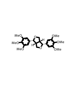 COc1cc([C@@H]2OC[C@H]3[C@@H]2CO[C@H]3c2cc(OC)c(OC)c(OC)c2)cc(OC)c1OC